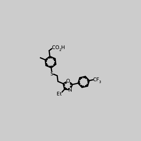 CCc1nc(-c2ccc(C(F)(F)F)cc2)oc1CCSc1ccc(CC(=O)O)c(C)c1